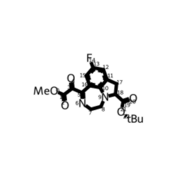 COC(=O)C(=O)C1=NCCN2c3c(cc(F)cc31)CC2C(=O)OC(C)(C)C